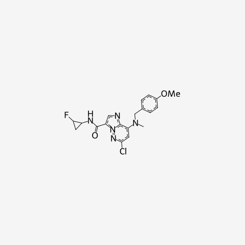 COc1ccc(CN(C)c2cc(Cl)nn3c(C(=O)NC4CC4F)cnc23)cc1